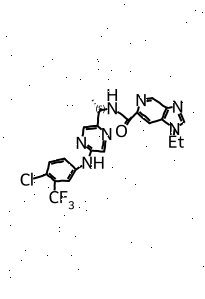 CCn1cnc2cnc(C(=O)N[C@@H](C)c3cnc(Nc4ccc(Cl)c(C(F)(F)F)c4)cn3)cc21